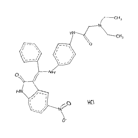 CCN(CC)CC(=O)Nc1ccc(NC(=C2C(=O)Nc3ccc([N+](=O)[O-])cc32)c2ccccc2)cc1.Cl